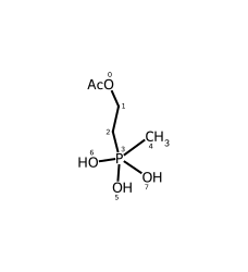 CC(=O)OCCP(C)(O)(O)O